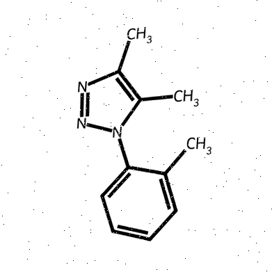 Cc1ccccc1-n1nnc(C)c1C